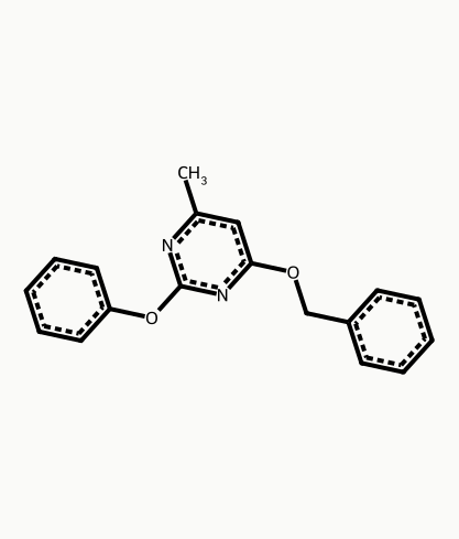 Cc1cc(OCc2ccccc2)nc(Oc2ccccc2)n1